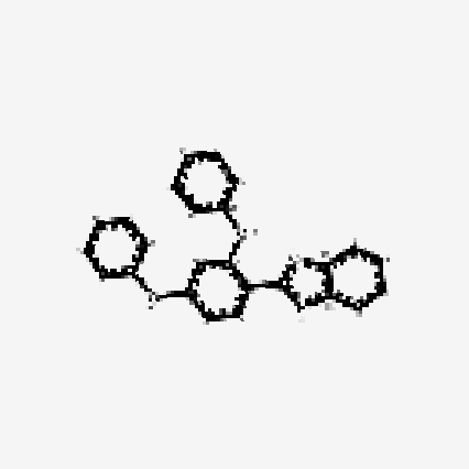 c1ccc(Oc2ccc(-c3nc4ccccc4o3)c(Oc3ccccc3)c2)cc1